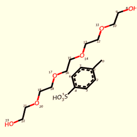 Cc1ccc(S(=O)(=O)O)cc1.OCCOCCOCCOCCOCCO